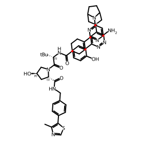 Cc1ncsc1-c1ccc(CNC(=O)[C@@H]2C[C@@H](O)CN2C(=O)[C@@H](NC(=O)C2CC=C(c3nccc(N4C5CCC4CN(c4cc(-c6ccccc6O)nnc4N)C5)n3)CC2)C(C)(C)C)cc1